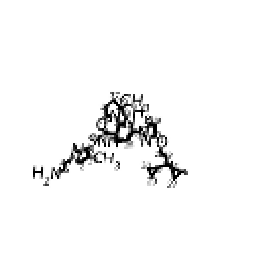 Cc1cn(CCN)nc1SNC(=O)c1ccc(-n2ccc(OCCC(C3CC3)C3CC3)n2)nc1N1CCCC1(C)C